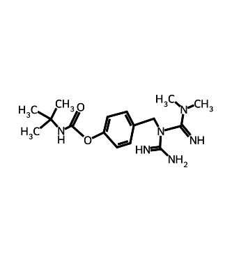 CN(C)C(=N)N(Cc1ccc(OC(=O)NC(C)(C)C)cc1)C(=N)N